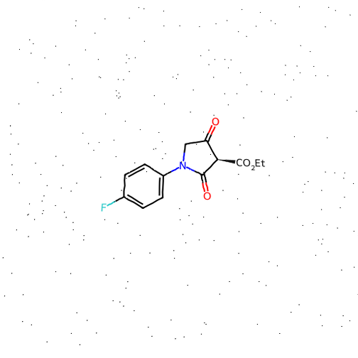 CCOC(=O)[C@@H]1C(=O)CN(c2ccc(F)cc2)C1=O